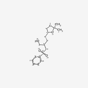 CC1(C)OCC(CCC(CO)CS(=O)(=O)c2ccccc2)O1